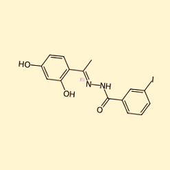 C/C(=N\NC(=O)c1cccc(I)c1)c1ccc(O)cc1O